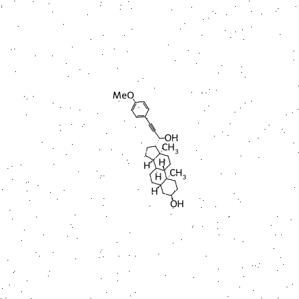 COc1ccc(C#CC(O)[C@H]2CC[C@H]3[C@@H]4CC[C@H]5C[C@H](O)CC[C@]5(C)[C@H]4CC[C@]23C)cc1